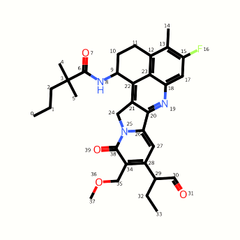 CCCC(C)(C)C(=O)NC1CCc2c(C)c(F)cc3nc4c(c1c23)Cn1c-4cc(C(C=O)CC)c(COC)c1=O